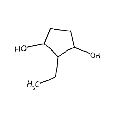 CCC1C(O)CCC1O